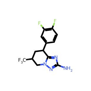 Nc1nc2n(n1)CC(C(F)(F)F)CC2c1ccc(F)c(F)c1